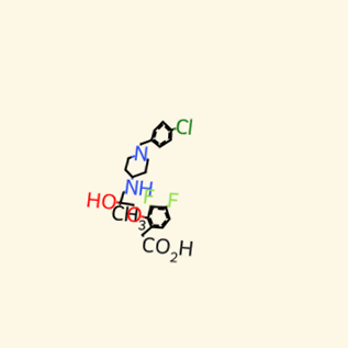 C[C@](O)(CNC1CCN(Cc2ccc(Cl)cc2)CC1)COc1c(CC(=O)O)ccc(F)c1F